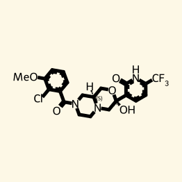 COc1cccc(C(=O)N2CCN3C[C@@](O)(c4ccc(C(F)(F)F)[nH]c4=O)OC[C@@H]3C2)c1Cl